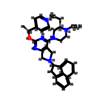 C[C@@H](Oc1nc2c(c(N3CCN(C(=O)O)[C@@H](CC#N)C3)n1)CN(C1Cc3cccc4cccc1c34)C2)c1ccncc1